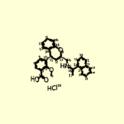 COc1c(C(=O)O)cccc1[C@@H]1C[C@H](CNC(C)c2cccc3ccccc23)Oc2ccccc21.Cl